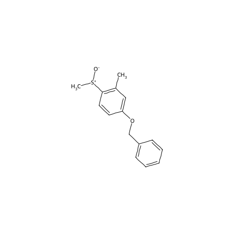 Cc1cc(OCc2ccccc2)ccc1[S+](C)[O-]